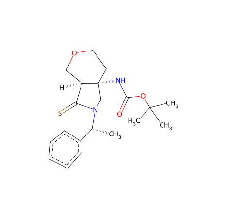 C[C@H](c1ccccc1)N1C[C@]2(NC(=O)OC(C)(C)C)CCOC[C@@H]2C1=S